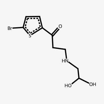 O=C(CCNCC(O)O)c1ccc(Br)s1